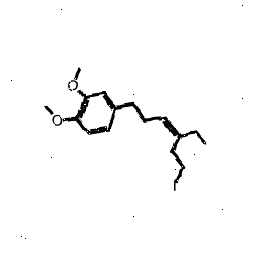 CCC(=CCCc1ccc(OC)c(OC)c1)CCI